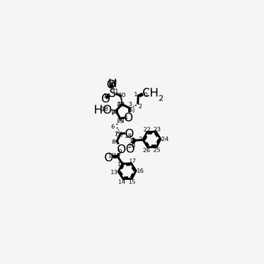 C=CC[C@@H]1O[C@H](C[C@@H](COC(=O)c2ccccc2)OC(=O)c2ccccc2)[C@H](O)[C@H]1C[SH](=O)=O